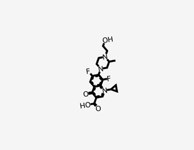 CC1CN(c2c(F)cc3c(=O)c(C(=O)O)cn(C4CC4)c3c2F)CCN1CCO